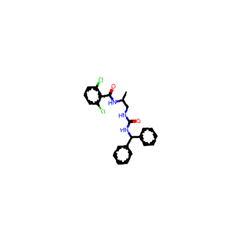 CC(CNC(=O)NC(c1ccccc1)c1ccccc1)NC(=O)c1c(Cl)cccc1Cl